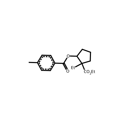 CCOC(=O)C1(CC)CCCC1OC(=O)c1ccc(C)cc1